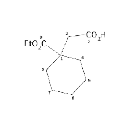 CCOC(=O)C1(CC(=O)O)CCCCC1